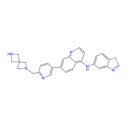 c1cc(Nc2ccc3scnc3c2)c2ccc(-c3ccc(CN4CC5(CNC5)C4)nc3)cc2n1